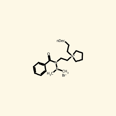 CCCCCCCCCCCC[N+]1(CCN(C(=O)c2ccccc2)N(C)C)CCCC1.[Br-]